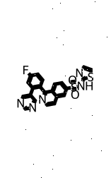 O=S(=O)(Nc1nccs1)c1ccc2c(-c3ccc(F)cc3-c3cncnc3)nccc2c1